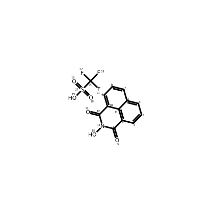 O=C1c2cccc3cccc(c23)C(=O)N1O.O=S(=O)(O)C(F)(F)F